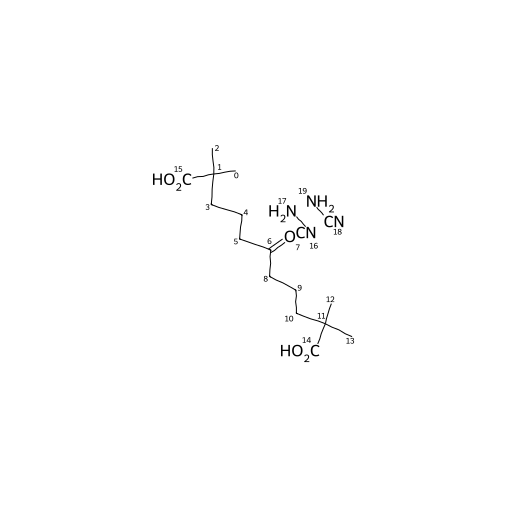 CC(C)(CCCC(=O)CCCC(C)(C)C(=O)O)C(=O)O.N#CN.N#CN